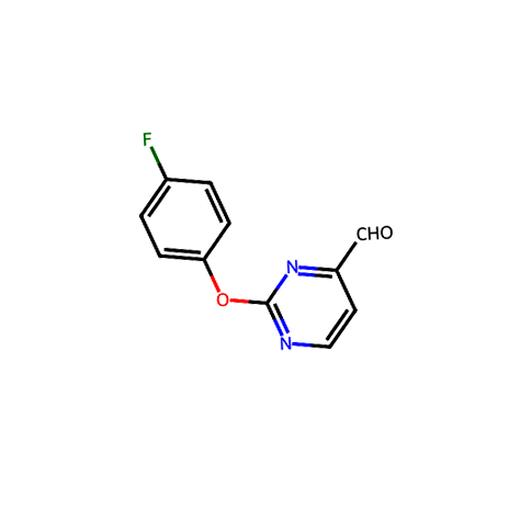 O=Cc1ccnc(Oc2ccc(F)cc2)n1